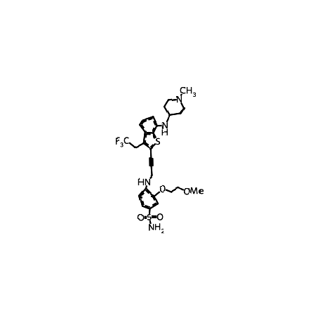 COCCOc1cc(S(N)(=O)=O)ccc1NCC#Cc1sc2c(NC3CCN(C)CC3)cccc2c1CC(F)(F)F